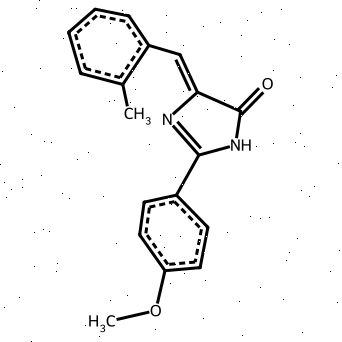 COc1ccc(C2=N/C(=C\c3ccccc3C)C(=O)N2)cc1